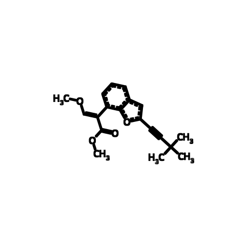 CO/C=C(/C(=O)OC)c1cccc2cc(C#CC(C)(C)C)oc12